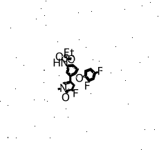 CCS(=O)(=O)Nc1ccc(Oc2ccc(F)cc2F)c(C2=CN(C)C(=O)C(F)C2)c1